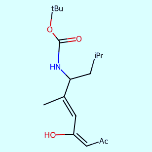 CC(=O)/C=C(O)\C=C(/C)C(CC(C)C)NC(=O)OC(C)(C)C